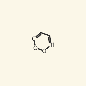 [C-]1=C[CH]=[Tl][O]O1